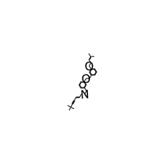 CC(C)=CCOc1cccc(COc2cccc(CN(C)CC=CC#CC(C)(C)C)c2)c1